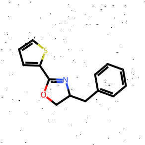 c1ccc(CC2COC(c3cccs3)=N2)cc1